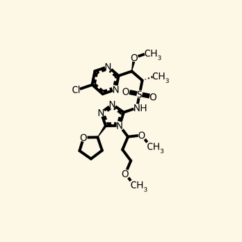 COCCC(OC)n1c(NS(=O)(=O)[C@@H](C)[C@H](OC)c2ncc(Cl)cn2)nnc1[C@H]1CCCO1